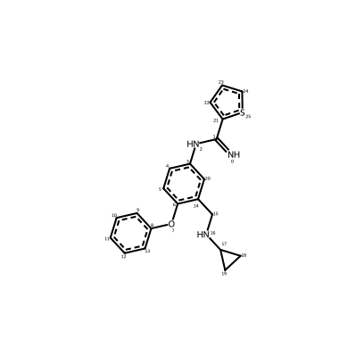 N=C(Nc1ccc(Oc2ccccc2)c(CNC2CC2)c1)c1cccs1